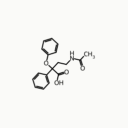 CC(=O)NCCC(Oc1ccccc1)(C(=O)O)c1ccccc1